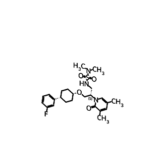 Cc1cc(C)c(=O)n([C@@H](CNS(=O)(=O)N(C)C)CO[C@H]2CC[C@@H](c3cccc(F)c3)CC2)c1